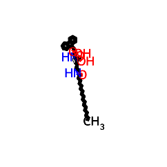 CCCCCCCCCCCCCCCCCC(=O)NCCCC[C@H](NC(O)OCC1c2ccccc2-c2ccccc21)C(=O)O